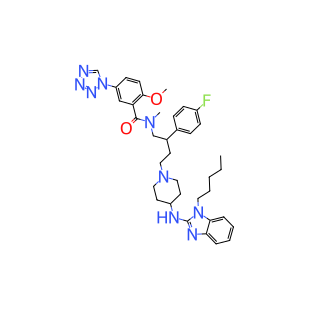 CCCCCn1c(NC2CCN(CCC(CN(C)C(=O)c3cc(-n4cnnn4)ccc3OC)c3ccc(F)cc3)CC2)nc2ccccc21